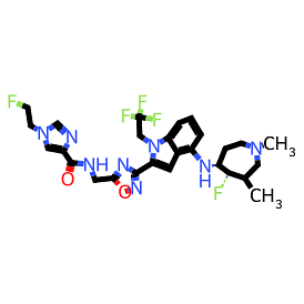 CC1CN(C)CC[C@@H](Nc2cccc3c2cc(-c2noc(CNC(=O)c4cn(CCF)cn4)n2)n3CC(F)(F)F)[C@H]1F